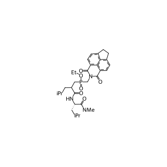 CCOP(=O)(CC(CC(C)C)C(=O)N[C@@H](CC(C)C)C(=O)NC)CN1C(=O)c2ccc3c4c(ccc(c24)C1=O)CC3